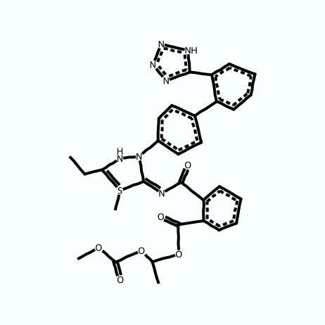 CCC1=S(C)C(=NC(=O)c2ccccc2C(=O)OC(C)OC(=O)OC)N(c2ccc(-c3ccccc3-c3nnn[nH]3)cc2)N1